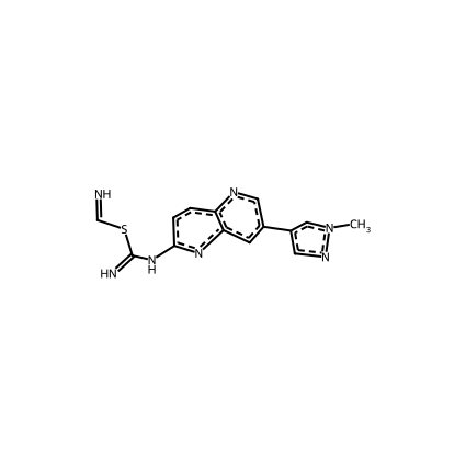 Cn1cc(-c2cnc3ccc(NC(=N)SC=N)nc3c2)cn1